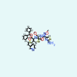 CON=C(C(=O)NC1C(=O)N2C(C(=O)OC(c3ccccc3)c3ccccc3)=C(CS/C=C\c3cccnc3)CS[C@@H]12)c1csc(N)n1